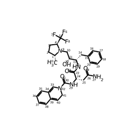 C[C@@H]1CC[C@@H](C(F)(F)F)N1C[C@@H](O)[C@H](Cc1ccccc1)NC(=O)[C@H](CC(N)=O)NC(=O)N1C=c2ccccc2=CC1